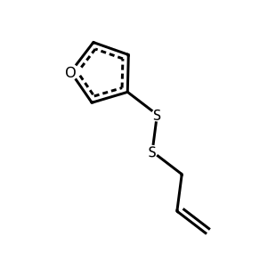 C=CCSSc1ccoc1